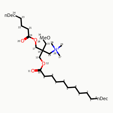 CCCCCCCCCCCCCCCCCCCC(=O)OCC(COC)(COC(=O)CCCCCCCCCCCCC)C[N+](C)(C)C